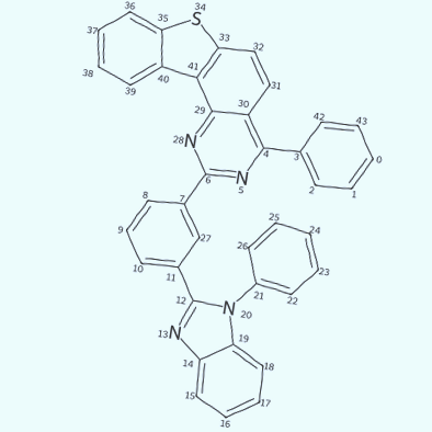 c1ccc(-c2nc(-c3cccc(-c4nc5ccccc5n4-c4ccccc4)c3)nc3c2ccc2sc4ccccc4c23)cc1